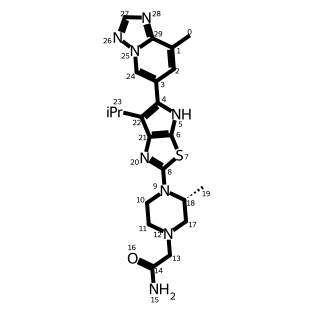 Cc1cc(-c2[nH]c3sc(N4CCN(CC(N)=O)C[C@H]4C)nc3c2C(C)C)cn2ncnc12